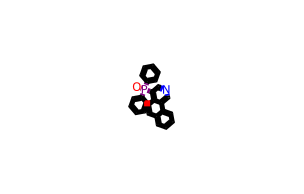 O=P(c1ccccc1)(c1ccccc1)c1cncc2c1ccc1ccccc12